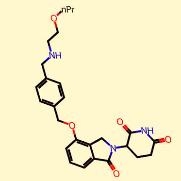 CCCOCCNCc1ccc(COc2cccc3c2CN(C2CCC(=O)NC2=O)C3=O)cc1